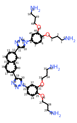 NCCCOc1ccc(-n2cc(-c3ccc4ccc(-c5cn(-c6ccc(OCCCN)c(OCCCN)c6)nn5)cc4c3)nn2)cc1OCCCN